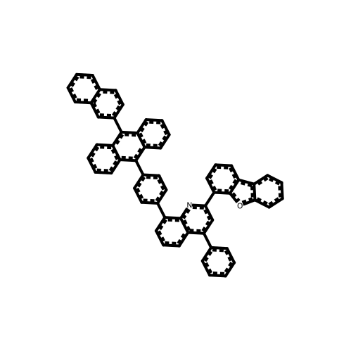 c1ccc(-c2cc(-c3cccc4c3oc3ccccc34)nc3c(-c4ccc(-c5c6ccccc6c(-c6ccc7ccccc7c6)c6ccccc56)cc4)cccc23)cc1